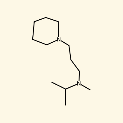 CC(C)N(C)CCCN1CCCCC1